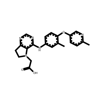 Cc1ccc(Oc2ccc(Nc3ncnc4c3N(CC(=O)O)CC4)cc2C)cn1